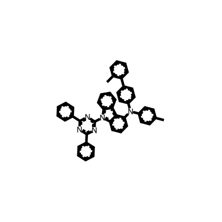 Cc1ccc(N(c2ccc(-c3ccccc3C)cc2)c2cccc3c2c2ccccc2n3-c2nc(-c3ccccc3)nc(-c3ccccc3)n2)cc1